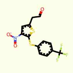 O=CCc1cc([N+](=O)[O-])c(Sc2ccc(C(F)(F)F)cc2)s1